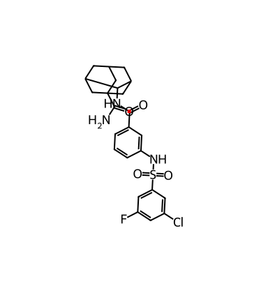 NC(=O)C12CC3CC(C1)C(NC(=O)c1cccc(NS(=O)(=O)c4cc(F)cc(Cl)c4)c1)C(C3)C2